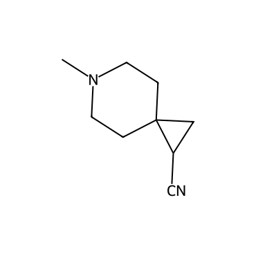 CN1CCC2(CC1)CC2C#N